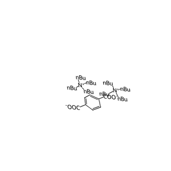 CCCC[N+](CCCC)(CCCC)CCCC.CCCC[N+](CCCC)(CCCC)CCCC.O=C([O-])c1ccc(C(=O)[O-])cc1